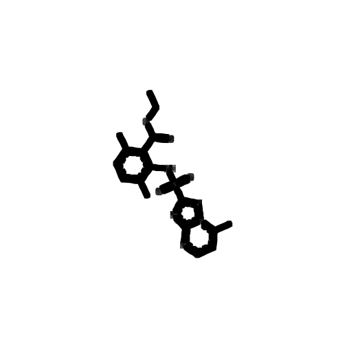 CCOC(=O)c1c(C)ccc(C)c1NS(=O)(=O)c1nc2nccc(C)n2n1